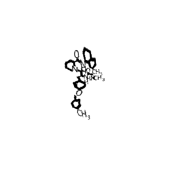 CN[C@@H](C)C(=O)N[C@@H](Cc1ccc(OCc2ccc(C)cc2)cc1)C(=O)N1CCCC[C@H]1C(=O)N[C@@H]1CCCc2ccccc21